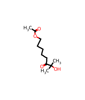 CC(=O)OCCCCCC(=O)C(C)(C)O